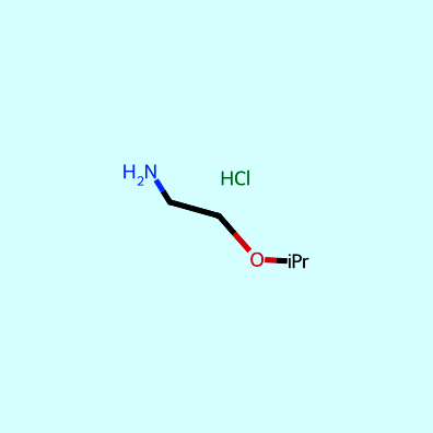 CC(C)OCCN.Cl